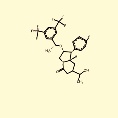 CC(O)C1CC(=O)N2C[C@H](O[C@H](C)c3cc(C(F)(F)F)cc(C(F)(F)F)c3)[C@@H](c3ccc(F)cc3)[C@@H]2C1